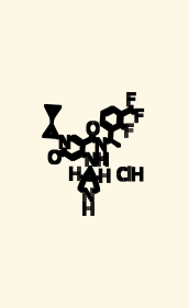 C[C@@H](NC(=O)c1cn([C@@H]2C[C@H]2C2CC2)c(=O)cc1N[C@@H]1[C@@H]2CNC[C@@H]21)c1cccc(C(F)F)c1F.Cl